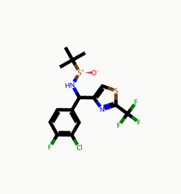 CC(C)(C)[S@+]([O-])NC(c1ccc(F)c(Cl)c1)c1csc(C(F)(F)F)n1